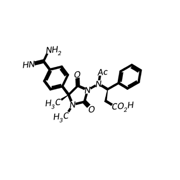 CC(=O)N([C@H](CC(=O)O)c1ccccc1)N1C(=O)N(C)[C@](C)(c2ccc(C(=N)N)cc2)C1=O